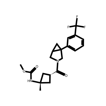 COC(=O)N[C@]1(C)C[C@H](C(=O)N2CC3CC3(c3cccc(C(F)(F)F)c3)C2)C1